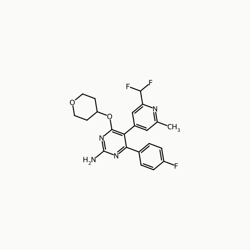 Cc1cc(-c2c(OC3CCOCC3)nc(N)nc2-c2ccc(F)cc2)cc(C(F)F)n1